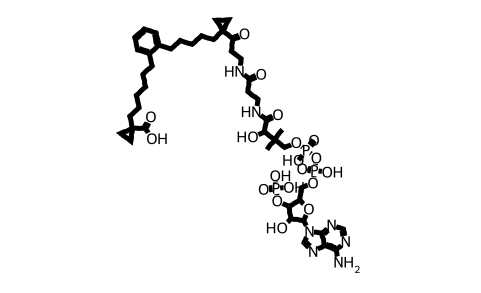 CC(C)(COP(=O)(O)OP(=O)(O)OCC1OC(n2cnc3c(N)ncnc32)C(O)C1OP(=O)(O)O)C(O)C(=O)NCCC(=O)NCCC(=O)C1(CCCCCc2ccccc2CCCCCCC2(C(=O)O)CC2)CC1